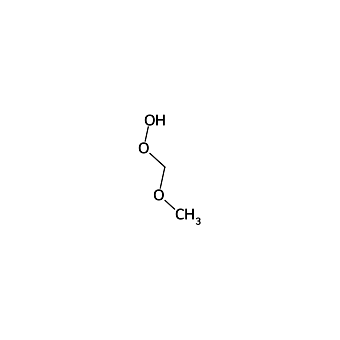 COCOO